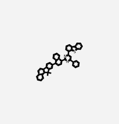 CC1(C)c2cc(-c3ccc(-c4nc(-c5ccccc5)cc(-c5cccc6c5sc5ccccc56)n4)c4ccccc34)ccc2-c2ccc3ccccc3c21